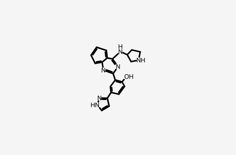 Oc1ccc(-c2cc[nH]n2)cc1-c1nc(NC2CCNC2)c2ccccc2n1